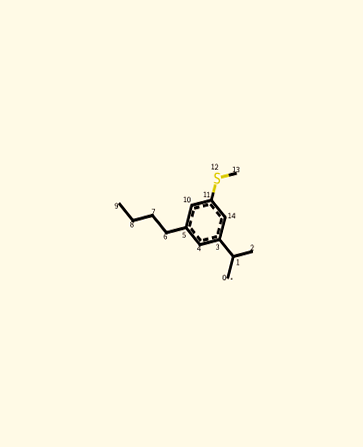 [CH2]C(C)c1cc(CCCC)cc(SC)c1